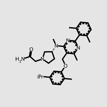 Cc1ccc(C(C)C)cc1OCc1c(C)nc(-c2c(C)cccc2C)nc1N(C)[C@@H]1CCN(CC(N)=O)C1